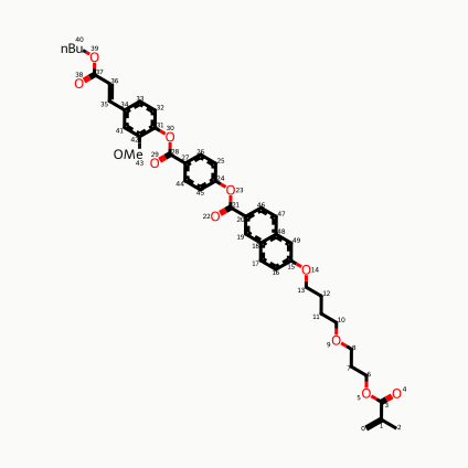 C=C(C)C(=O)OCCCOCCCCOc1ccc2cc(C(=O)Oc3ccc(C(=O)Oc4ccc(/C=C/C(=O)OCCCC)cc4OC)cc3)ccc2c1